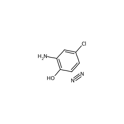 N#N.Nc1cc(Cl)ccc1O